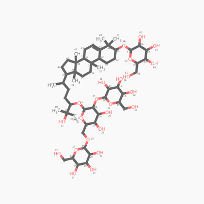 CC(CCC(OC1OC(COC2OC(CO)C(O)C(O)C2O)C(O)C(O)C1OC1OC(CO)C(O)C(O)C1O)C(C)(C)O)C1CCC2(C)C3CC=C4C(CCC(OC5OC(CO)C(O)C(O)C5O)C4(C)C)C3(C)CCC12C